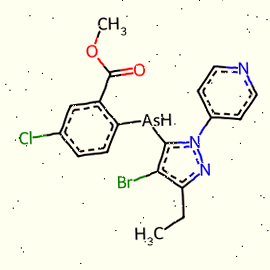 CCc1nn(-c2ccncc2)c([AsH]c2ccc(Cl)cc2C(=O)OC)c1Br